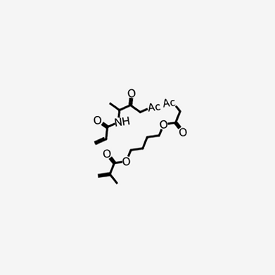 C=C(C)C(=O)OCCCCOC(=O)CC(C)=O.C=CC(=O)NC(C)C(=O)CC(C)=O